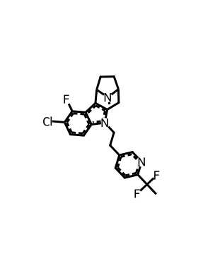 CN1C2CCC1c1c(n(CCc3ccc(C(C)(F)F)nc3)c3ccc(Cl)c(F)c13)C2